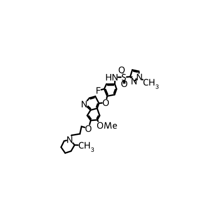 COc1cc2c(Oc3ccc(NS(=O)(=O)c4ccn(C)n4)cc3F)ccnc2cc1OCCCN1CCCCC1C